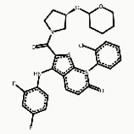 O=C(c1sc2c(ccc(=O)n2-c2ccccc2Cl)c1Nc1ccc(F)cc1F)N1CC[C@@H](OC2CCCCO2)C1